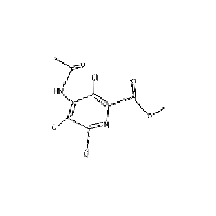 COC(=O)c1nc(Cl)c(Cl)c(NC(C)=O)c1Cl